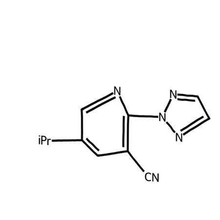 CC(C)c1cnc(-n2nccn2)c(C#N)c1